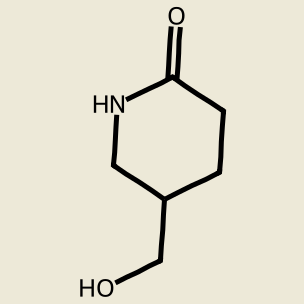 O=C1CCC(CO)CN1